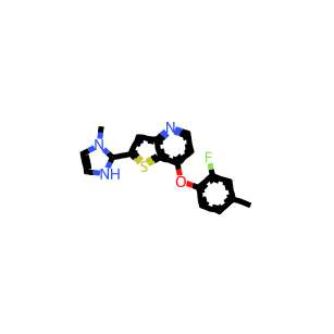 Cc1ccc(Oc2ccnc3cc(C4NC=CN4C)sc23)c(F)c1